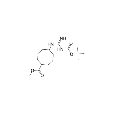 COC(=O)C1CCCC(NC(=N)NC(=O)OC(C)(C)C)CCC1